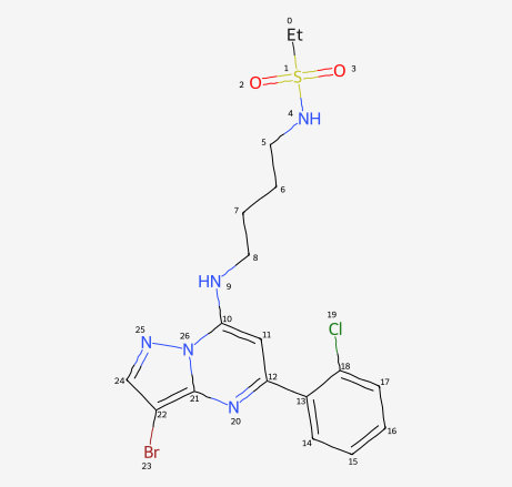 CCS(=O)(=O)NCCCCNc1cc(-c2ccccc2Cl)nc2c(Br)cnn12